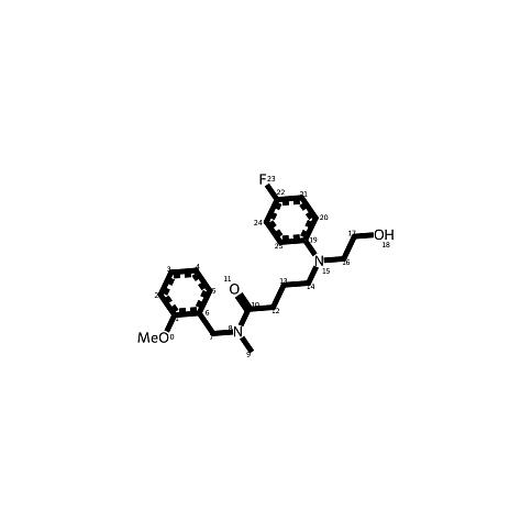 COc1ccccc1CN(C)C(=O)CCCN(CCO)c1ccc(F)cc1